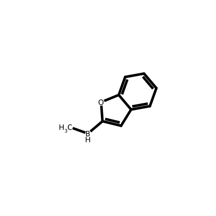 CBc1cc2ccccc2o1